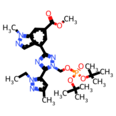 CCn1nc(C)cc1-c1nc(-c2cc(C(=O)OC)cc3c2cnn3C)nn1COP(=O)(OC(C)(C)C)OC(C)(C)C